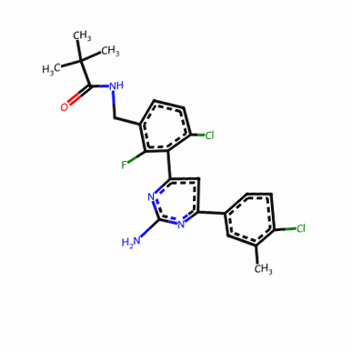 Cc1cc(-c2cc(-c3c(Cl)ccc(CNC(=O)C(C)(C)C)c3F)nc(N)n2)ccc1Cl